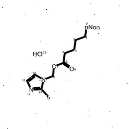 CCCCCCCCCCCCCC(=O)OCn1ccnc1C.Cl